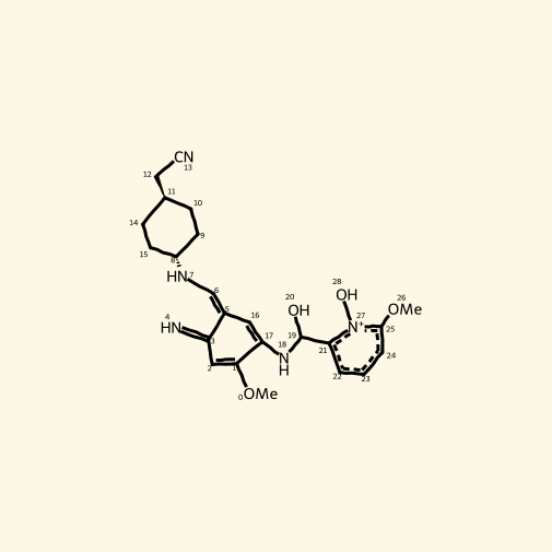 COC1=CC(=N)/C(=C\N[C@H]2CC[C@H](CC#N)CC2)C=C1NC(O)c1cccc(OC)[n+]1O